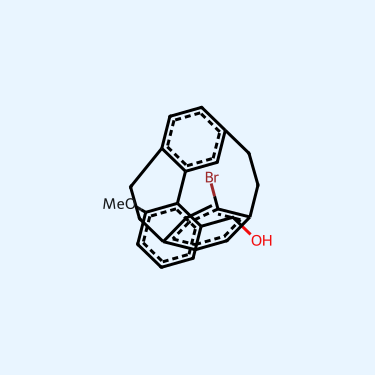 COc1cccc(CO)c1-c1cc2ccc1CCc1ccc(c(Br)c1)CC2